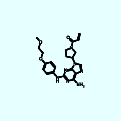 C=CC(=O)N1CCC(n2cnc3c(N)nc(Nc4ccc(OCCOC)cc4)nc32)C1